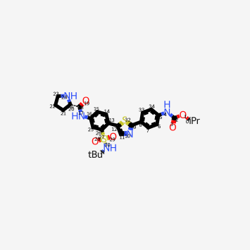 CC(C)OC(=O)Nc1ccc(-c2ncc(-c3ccc(NC(=O)[C@@H]4CCCN4)cc3S(=O)(=O)NC(C)(C)C)s2)cc1